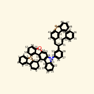 C1=Cc2c(sc3ccccc23)C(c2c3c(cc4c2c2ccccc2n4-c2cccc(C(CCc4ccccc4)Cc4ccc5sc6ccccc6c5c4)c2)oc2ccccc23)C1